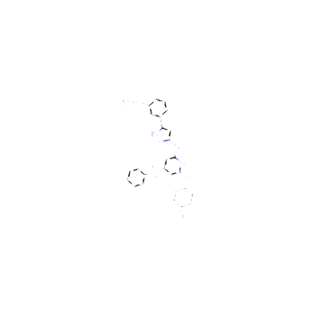 COc1cccc(-c2cc(Nc3cc(S(=O)(=O)c4ccccc4)cc(N[C@H]4CC[C@H](O)CC4)n3)n[nH]2)c1